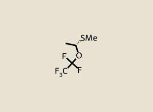 CS[C@@H](C)OC(F)(F)C(F)(F)F